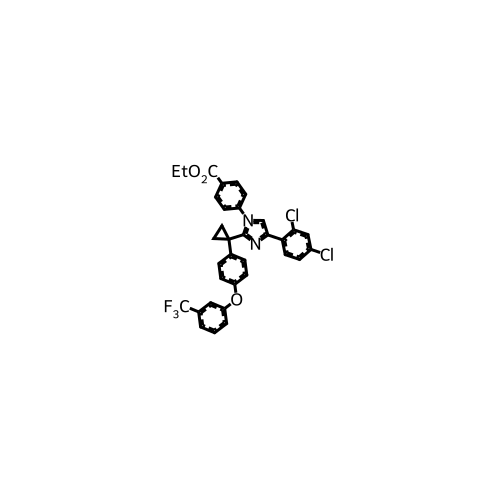 CCOC(=O)c1ccc(-n2cc(-c3ccc(Cl)cc3Cl)nc2C2(c3ccc(Oc4cccc(C(F)(F)F)c4)cc3)CC2)cc1